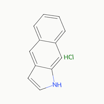 Cl.c1ccc2cc3[nH]ccc3cc2c1